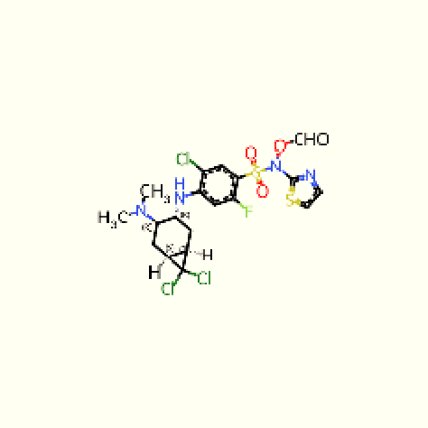 CN(C)[C@@H]1C[C@H]2[C@@H](C[C@H]1Nc1cc(F)c(S(=O)(=O)N(OC=O)c3nccs3)cc1Cl)C2(Cl)Cl